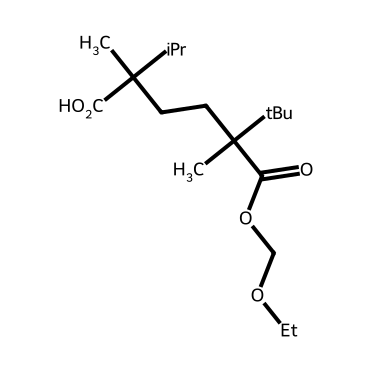 CCOCOC(=O)C(C)(CCC(C)(C(=O)O)C(C)C)C(C)(C)C